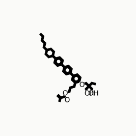 C=C(C)C(=O)OCCCc1cc(-c2ccc(-c3ccc(C4CCC(CCCCC)CC4)cc3)cc2)ccc1OCC(CC)(CO)CO